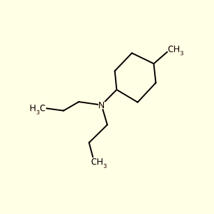 CCCN(CCC)C1CCC(C)CC1